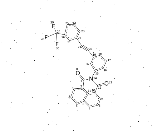 O=C1c2cccc3cccc(c23)C(=O)N1c1cccc(C#Cc2cccc(C(F)(F)F)c2)c1